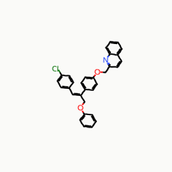 Clc1ccc(/C=C(/COc2ccccc2)c2ccc(OCc3ccc4ccccc4n3)cc2)cc1